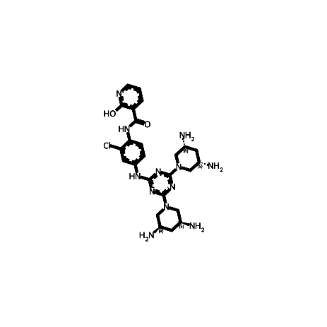 N[C@@H]1C[C@H](N)CN(c2nc(Nc3ccc(NC(=O)c4cccnc4O)c(Cl)c3)nc(N3C[C@H](N)C[C@H](N)C3)n2)C1